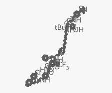 Cc1ncsc1-c1ccc([C@H](C)NC(=O)[C@@H]2C[C@@H](O)CN2C(=O)[C@@H](NCCCCCCCCN2CCN(CC[C@H](CSc3ccccc3)Nc3ccc(S(=O)(=O)NC(=O)c4ccc(NCCNCC5=C(c6ccc(Cl)cc6)CCC(C)(C)C5)cc4)cc3S(=O)(=O)C(F)(F)F)CC2)C(C)(C)C)cc1